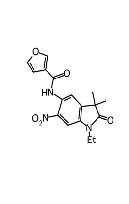 CCN1C(=O)C(C)(C)c2cc(NC(=O)c3ccoc3)c([N+](=O)[O-])cc21